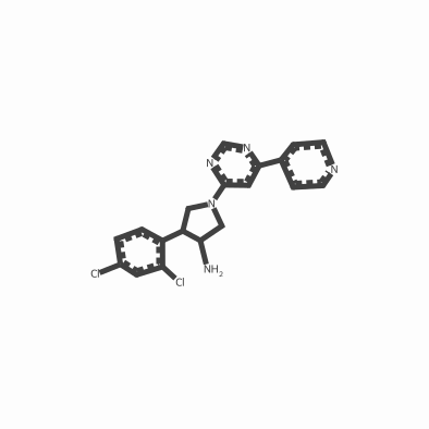 NC1CN(c2cc(-c3ccncc3)ncn2)CC1c1ccc(Cl)cc1Cl